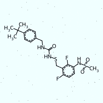 CC(C)(C)c1ccc(CNC(=O)NSCc2c(F)ccc(NS(C)(=O)=O)c2F)cc1